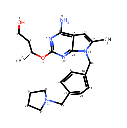 CCC[C@H](CCO)Oc1nc(N)c2cc(C#N)n(Cc3ccc(CN4CCCC4)cc3)c2n1